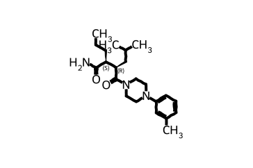 CCC[C@H](C(N)=O)[C@@H](CC(C)C)C(=O)N1CCN(c2cccc(C)c2)CC1